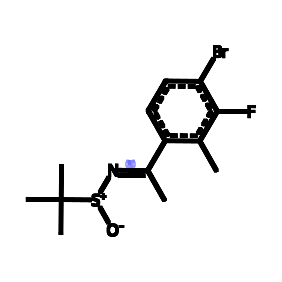 C/C(=N\[S+]([O-])C(C)(C)C)c1ccc(Br)c(F)c1C